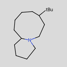 CC(C)(C)C1CCCCC2CCCCN2CC1